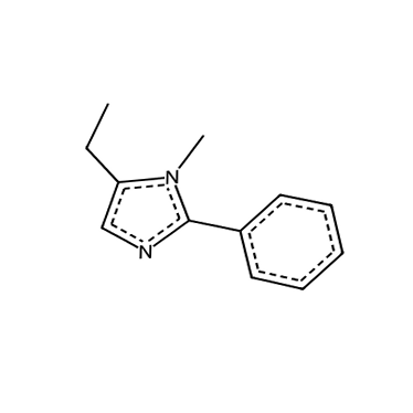 CCc1cnc(-c2ccccc2)n1C